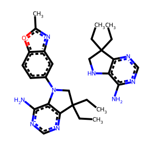 CCC1(CC)CN(c2ccc3oc(C)nc3c2)c2c(N)ncnc21.CCC1(CC)CNc2c(N)ncnc21